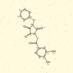 O=C(CN1C(=O)C(=O)N(Cc2ccccc2)C1=O)c1ccc(O)c(O)c1